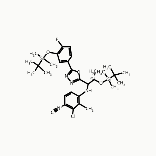 [C-]#[N+]c1ccc(NC(c2nnc(-c3ccc(F)c(O[Si](C)(C)C(C)(C)C)c3)o2)[C@H](C)O[Si](C)(C)C(C)(C)C)c(C)c1Cl